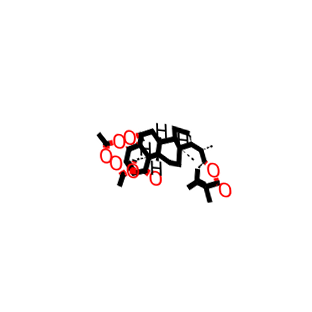 CC(=O)OC[C@]12C(=O)C=C[C@H](OC(C)=O)[C@]13O[C@@H]3C[C@H]1[C@@H]3CC[C@H]([C@H](C)[C@H]4CC(C)=C(C)C(=O)O4)[C@@]3(C)CC[C@@H]12